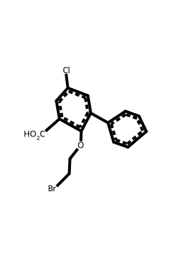 O=C(O)c1cc(Cl)cc(-c2ccccc2)c1OCCBr